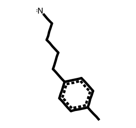 Cc1ccc(CCCC[N])cc1